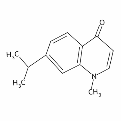 CC(C)c1ccc2c(=O)ccn(C)c2c1